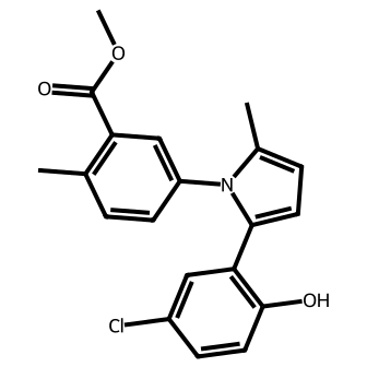 COC(=O)c1cc(-n2c(C)ccc2-c2cc(Cl)ccc2O)ccc1C